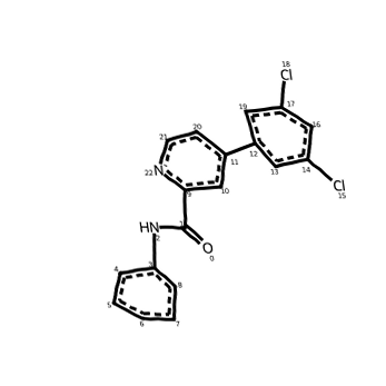 O=C(Nc1ccccc1)c1cc(-c2cc(Cl)cc(Cl)c2)ccn1